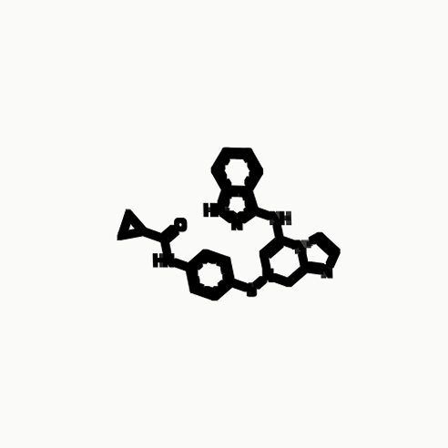 O=C(Nc1ccc(SN2C=C(Nc3n[nH]c4ccccc34)[N+]3C=CN=C3C2)cc1)C1CC1